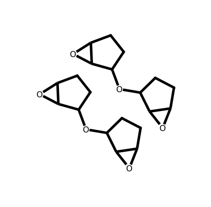 C1CC2OC2C1OC1CCC2OC12.C1CC2OC2C1OC1CCC2OC12